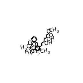 CCC(C)(C)C(=O)OC1(Cc2cc(C)cc(C)c2C=CC(O)CC(O)CC(=O)OC)C=CC=CC1